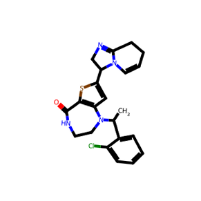 CC(c1ccccc1Cl)N1CCNC(=O)c2sc(C3CN=C4CCC=CN43)cc21